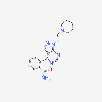 NC(=O)c1ccccc1-c1ncnc2c1cnn2CCN1CCCCC1